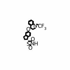 O=C1NC(=O)C([C@@H]2CCc3cc(OC4CCN(CC(F)(F)F)c5ccccc54)ccc32)S1